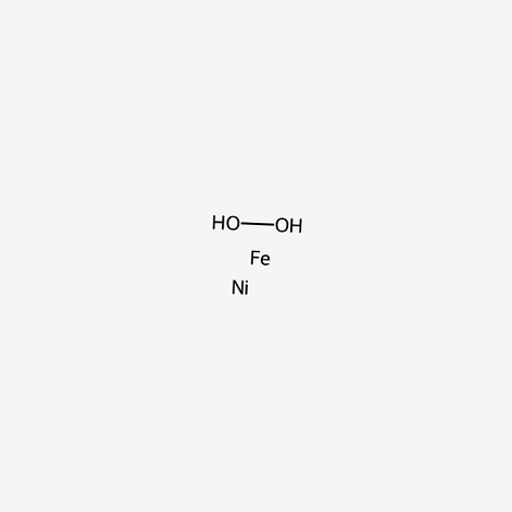 OO.[Fe].[Ni]